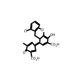 CC1=CC(=C2C=C(C(=O)O)C(O)=C(C)C2Cc2c(Cl)cccc2Cl)C=C(C(=O)O)C1=O